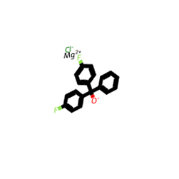 [Cl-].[Mg+2].[O-]C(c1ccccc1)(c1ccc(F)cc1)c1ccc(F)cc1